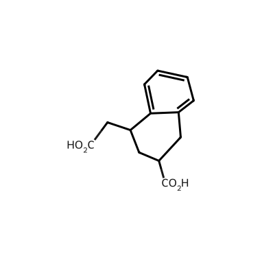 O=C(O)CC1CC(C(=O)O)Cc2ccccc21